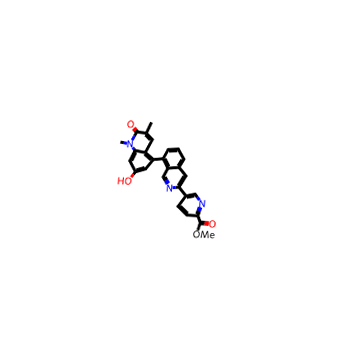 COC(=O)c1ccc(-c2cc3cccc(-c4cc(O)cc5c4cc(C)c(=O)n5C)c3cn2)cn1